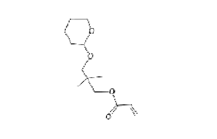 C=CC(=O)OCC(C)(C)COC1CCCCO1